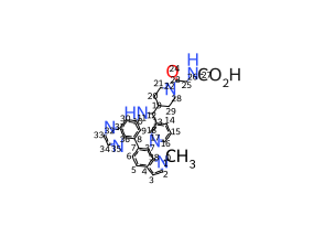 Cn1ccc2ccc(-c3cc(NC(c4cccnc4)C4CCN(C(=O)CNC(=O)O)CC4)cc4nccnc34)cc21